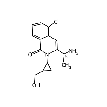 C[C@H](N)c1cc2c(Cl)cccc2c(=O)n1C1CC1CO